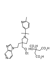 CCOCC1(CCn2cnc3cnccc32)CCN(C(C)(C)c2ccc(C)nc2)C1.O=C(O)CC(O)(CC(=O)O)C(=O)O